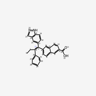 CC/C(=C(/c1ccc2cc(C(=O)O)ccc2c1)c1ccc2[nH]ncc2c1)c1ccccc1